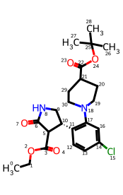 CCOC(=O)C1C(=O)NC[C@@H]1c1ccc(Cl)cc1N1CCC(C(=O)OC(C)(C)C)CC1